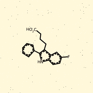 O=C(O)CCCc1c(-c2ccccc2)[nH]c2ccc(F)cc12